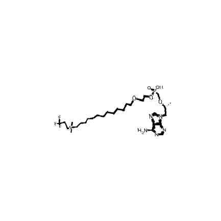 C[C@H](Cn1cnc2c(N)ncnc21)OCP(=O)(O)OCCOCCCCCCCCCCCCC[Si](C)(C)CCC(F)(F)F